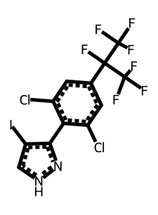 FC(F)(F)C(F)(c1cc(Cl)c(-c2n[nH]cc2I)c(Cl)c1)C(F)(F)F